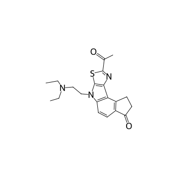 CCN(CC)CCn1c2ccc3c(c2c2nc(C(C)=O)sc21)CCC3=O